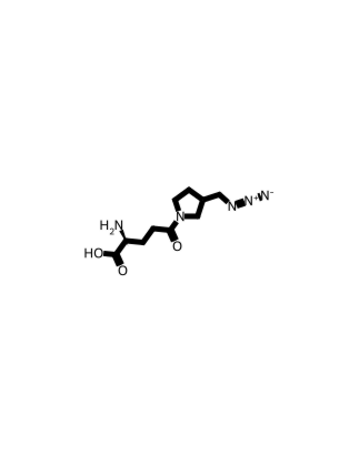 [N-]=[N+]=NCC1CCN(C(=O)CC[C@H](N)C(=O)O)C1